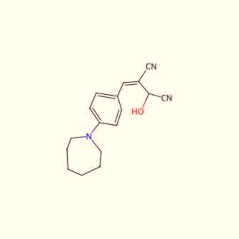 N#CC(=Cc1ccc(N2CCCCCC2)cc1)C(O)C#N